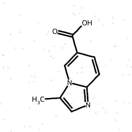 Cc1cnc2ccc(C(=O)O)cn12